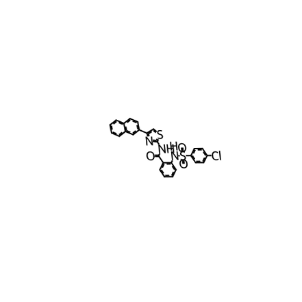 O=C(Nc1nc(-c2ccc3ccccc3c2)cs1)c1ccccc1NS(=O)(=O)c1ccc(Cl)cc1